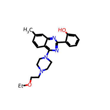 CCOCCN1CCN(c2nc(-c3ccccc3O)nc3cc(C)ccc23)CC1